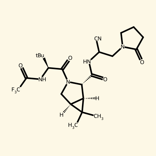 CC(C)(C)[C@H](NC(=O)C(F)(F)F)C(=O)N1C[C@H]2[C@@H]([C@H]1C(=O)NC(C#N)CN1CCCC1=O)C2(C)C